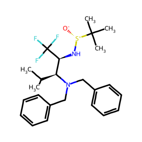 CC(C)[C@@H]([C@H](N[S@+]([O-])C(C)(C)C)C(F)(F)F)N(Cc1ccccc1)Cc1ccccc1